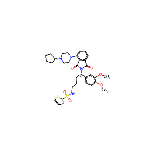 COc1ccc([C@@H](CCCNS(=O)(=O)C2CC=CS2)N2C(=O)c3cccc(N4CCN(C5CCCC5)CC4)c3C2=O)cc1OC